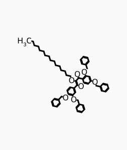 CCCCCCCCCCCCCCCCOc1c(-c2ccc(OCc3ccccc3)c(OCc3ccccc3)c2)oc2cc(OCc3ccccc3)cc(OCc3ccccc3)c2c1=O